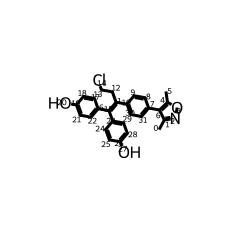 Cc1noc(C)c1-c1ccc(C(CCCl)=C(c2ccc(O)cc2)c2ccc(O)cc2)cc1